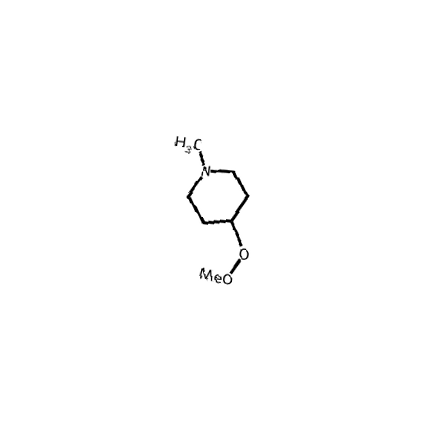 COOC1CCN(C)CC1